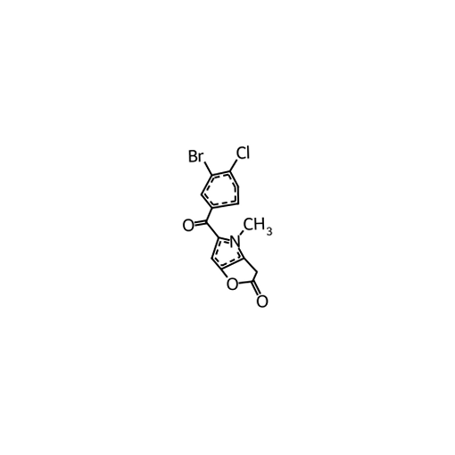 Cn1c(C(=O)c2ccc(Cl)c(Br)c2)cc2c1CC(=O)O2